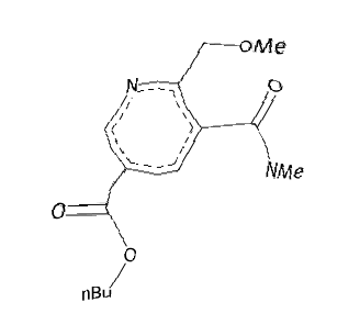 CCCCOC(=O)c1cnc(COC)c(C(=O)NC)c1